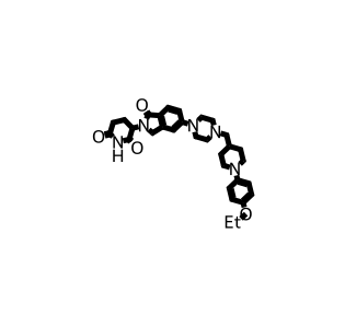 CCOc1ccc(N2CCC(CN3CCN(c4ccc5c(c4)CN(C4CCC(=O)NC4=O)C5=O)CC3)CC2)cc1